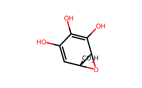 O=C(O)C12C=C(O)C(O)=C(O)C1O2